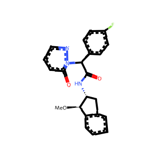 CO[C@@H]1c2ccccc2C[C@H]1NC(=O)C(c1ccc(F)cc1)n1ncccc1=O